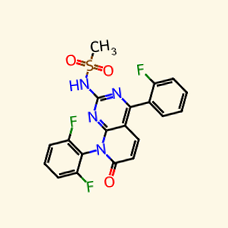 CS(=O)(=O)Nc1nc(-c2ccccc2F)c2ccc(=O)n(-c3c(F)cccc3F)c2n1